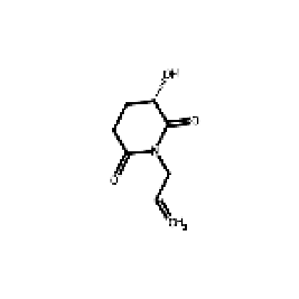 C=CCN1C(=O)CC[C@H](O)C1=O